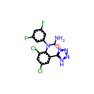 NC(=O)N(c1cc(F)cc(F)c1)c1c(Cl)cc(Cl)cc1-c1nnn[nH]1